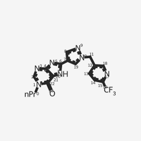 CCCn1cnc2nc(-c3cnn(Cc4ccc(C(F)(F)F)nc4)c3)[nH]c2c1=O